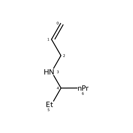 C=CCNC(CC)CCC